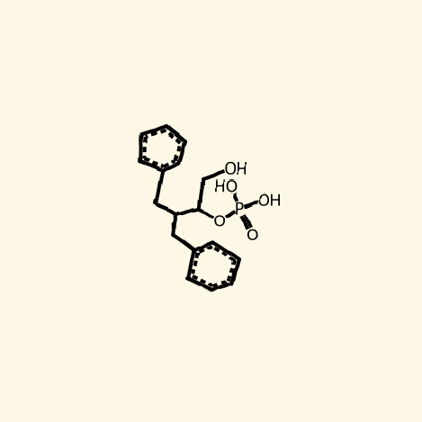 O=P(O)(O)OC(CO)C(Cc1ccccc1)Cc1ccccc1